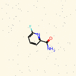 NC(=O)c1[c]ccc(F)n1